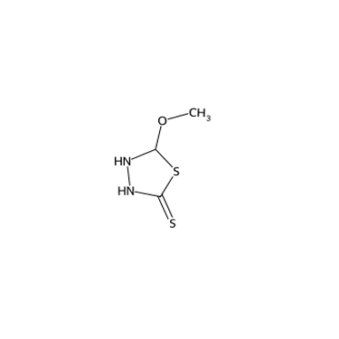 COC1NNC(=S)S1